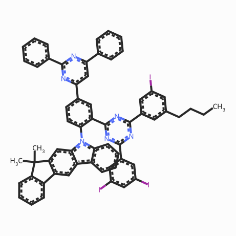 CCCCc1cc(I)cc(-c2nc(-c3cc(I)cc(I)c3)nc(-c3cc(-c4cc(-c5ccccc5)nc(-c5ccccc5)n4)ccc3-n3c4ccccc4c4cc5c(cc43)C(C)(C)c3ccccc3-5)n2)c1